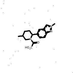 CC1CCC(c2ccc3nn(C)cc3c2)N(C(=O)C(=O)O)C1